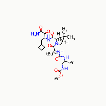 CC(C)OC(=O)NCC(NC(=O)N[C@H](C(=O)N1C[C@H]2[C@@H]([C@H]1C(=O)NC(CC1CCC1)C(=O)C(N)=O)C2(C)C)C(C)(C)C)C(C)C